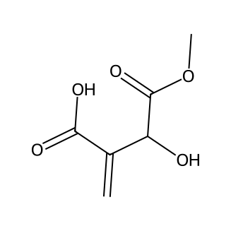 C=C(C(=O)O)C(O)C(=O)OC